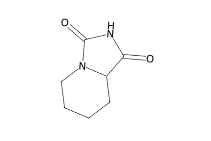 O=C1NC(=O)N2CCCCC12